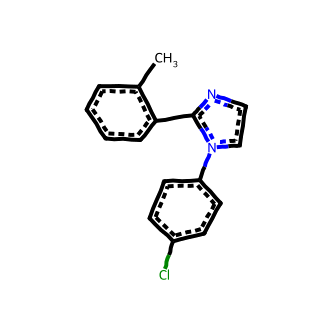 Cc1ccccc1-c1nccn1-c1ccc(Cl)cc1